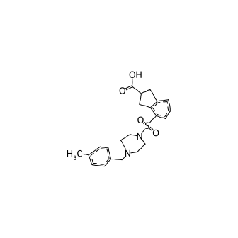 Cc1ccc(CN2CCN(S(=O)(=O)c3cccc4c3CC(C(=O)O)C4)CC2)cc1